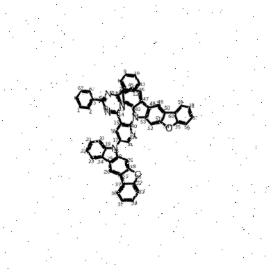 c1ccc(-c2nc(-c3ccccc3)nc(-c3cc(-n4c5ccccc5c5cc6c(cc54)oc4ccccc46)cnc3-n3c4ccccc4c4cc5c(cc43)oc3ccccc35)n2)cc1